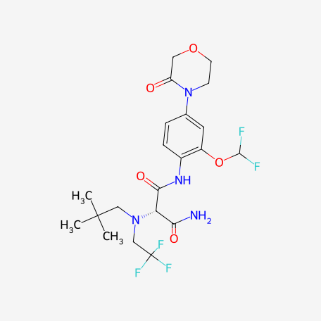 CC(C)(C)CN(CC(F)(F)F)[C@@H](C(N)=O)C(=O)Nc1ccc(N2CCOCC2=O)cc1OC(F)F